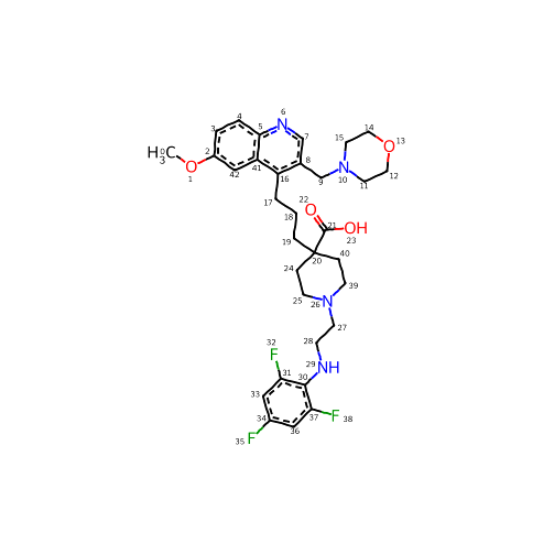 COc1ccc2ncc(CN3CCOCC3)c(CCCC3(C(=O)O)CCN(CCNc4c(F)cc(F)cc4F)CC3)c2c1